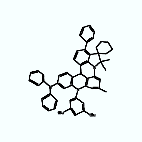 Cc1cc2c3c(c1)N1c4c(ccc(-c5ccccc5)c4C4(CCCCC4)C1(C)C)B3c1ccc(N(c3ccccc3)c3ccccc3)cc1N2c1cc(C(C)(C)C)cc(C(C)(C)C)c1